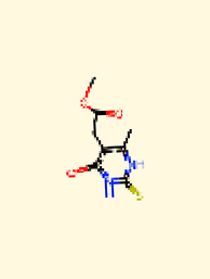 COC(=O)Cc1c(C)[nH]c(=S)[nH]c1=O